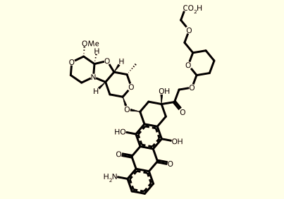 CO[C@H]1OCCN2[C@@H]1O[C@@H]1[C@H](C)O[C@@H](O[C@H]3C[C@](O)(C(=O)COC4CCCC(COCC(=O)O)O4)Cc4c(O)c5c(c(O)c43)C(=O)c3c(N)cccc3C5=O)C[C@@H]12